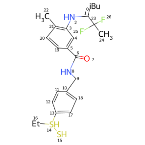 CCC(C)C(Nc1cc(C(=O)NCc2ccc([SH](S)CC)cc2)ccc1C)C(C)(F)F